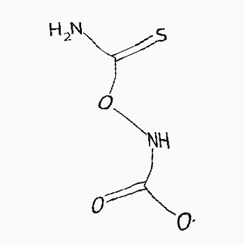 NC(=S)ONC([O])=O